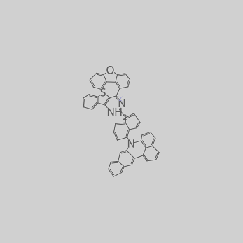 Nc1c(/C(=N\Cc2cccc3c(N4c5cc6ccccc6cc5-c5cccc6cccc4c56)cccc23)c2cccc3oc4ccccc4c23)sc2ccccc12